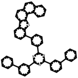 c1ccc(-c2cccc(-c3nc(-c4cccc(-c5ccccc5)c4)nc(-c4cccc(-c5cccc6c5sc5c6ccc6ccc7ccccc7c65)c4)n3)c2)cc1